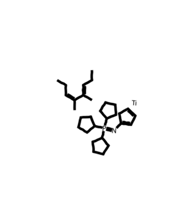 C1=CCC(N=P(C2CCCC2)(C2CCCC2)C2CCCC2)=C1.CCC=C(C)C(C)=CCC.[Ti]